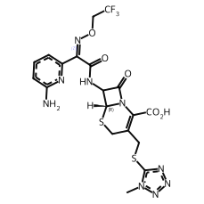 Cn1nnnc1SCC1=C(C(=O)O)N2C(=O)C(NC(=O)/C(=N\OCC(F)(F)F)c3cccc(N)n3)[C@H]2SC1